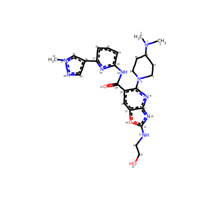 CN(C)C1CCN(c2nc3nc(NCCO)oc3cc2C(=O)Nc2cccc(-c3cnn(C)c3)n2)CC1